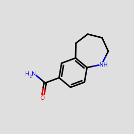 NC(=O)c1ccc2c(c1)CCCCN2